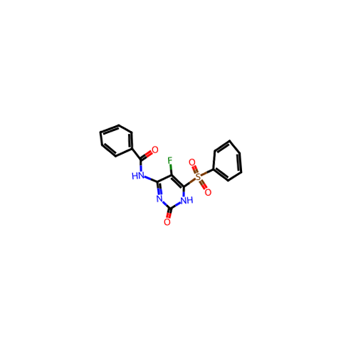 O=C(Nc1nc(=O)[nH]c(S(=O)(=O)c2ccccc2)c1F)c1ccccc1